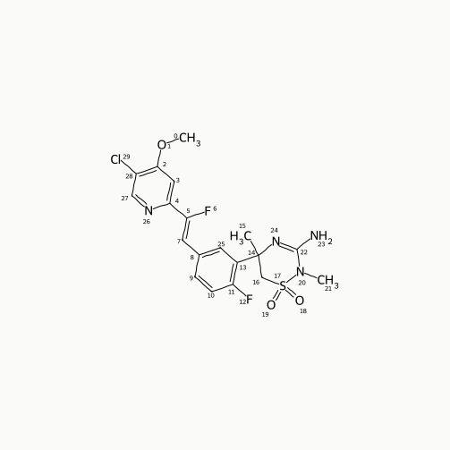 COc1cc(C(F)=Cc2ccc(F)c(C3(C)CS(=O)(=O)N(C)C(N)=N3)c2)ncc1Cl